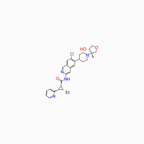 CC[C@H]1[C@H](C(=O)Nc2cc3cc(C4CCN([C@@]5(C)COC[C@H]5O)CC4)c(Cl)cc3cn2)[C@@H]1c1ccccn1